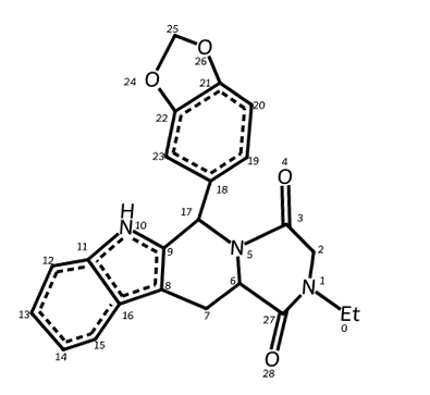 CCN1CC(=O)N2C(Cc3c([nH]c4ccccc34)C2c2ccc3c(c2)OCO3)C1=O